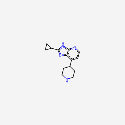 c1cc(C2CCNCC2)c2nc(C3CC3)[nH]c2n1